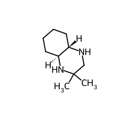 CC1(C)CN[C@H]2CCCC[C@@H]2N1